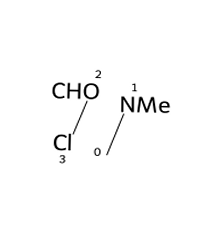 CNC.O=CCl